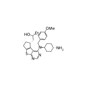 CCC(O)C[C@H]1CCc2sc3ncnc(N(Cc4ccc(OC)cc4)[C@H]4CC[C@H](N)CC4)c3c21